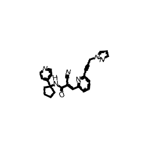 N#C/C(=C\c1cccc(C#CCn2cccn2)n1)C(=O)NC1(c2ccncc2)CCCC1